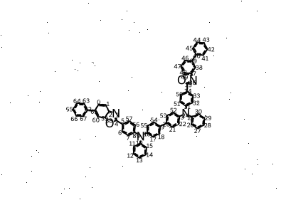 C1=CC2N=C(c3ccc(N(c4ccccc4)c4ccc(-c5ccc(N(c6ccccc6)c6ccc(-c7nc8cc(-c9ccccc9)ccc8o7)cc6)cc5)cc4)cc3)OC2C=C1c1ccccc1